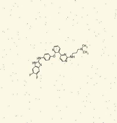 CN(C)CCCNc1nccc(-c2cccnc2Oc2ccc(Nc3nc4cc(F)c(F)cc4[nH]3)cc2)n1